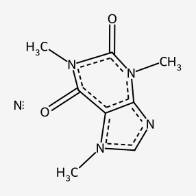 Cn1c(=O)c2c(ncn2C)n(C)c1=O.[N]